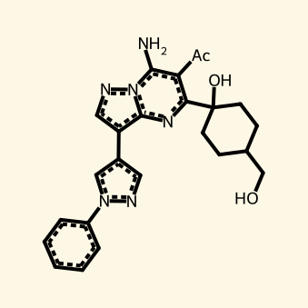 CC(=O)c1c(C2(O)CCC(CO)CC2)nc2c(-c3cnn(-c4ccccc4)c3)cnn2c1N